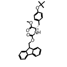 COC(=O)[C@H](Cc1ccc(OC(C)(C)C)cc1)NC(=O)OCC1c2ccccc2-c2ccccc21